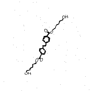 O=C(OCCCCCCO)c1ccc(/C=C/c2ccc(C(=O)OCCCCCCO)cc2)cc1